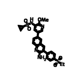 CCS(=O)(=O)c1ccc(-c2cc3cc(-c4cnc(OC)c(NS(=O)(=O)C5CC5)c4)ccc3nc2N)cc1